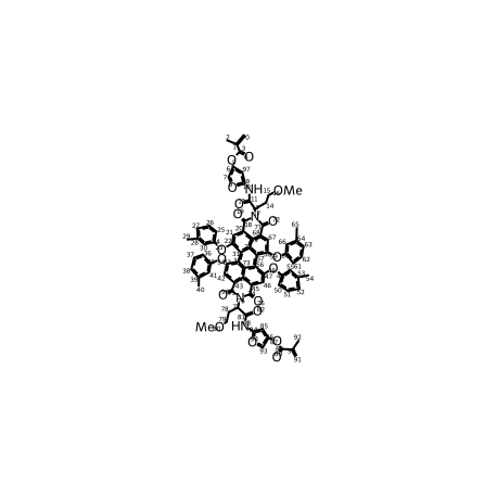 C=C(C)C(=O)Oc1coc(NC(=O)C(CCOC)N2C(=O)c3cc(Oc4cccc(C)c4)c4c5c(Oc6cccc(C)c6)cc6c7c(cc(Oc8cccc(C)c8)c(c8c(Oc9cccc(C)c9)cc(c3c48)C2=O)c75)C(=O)N(C(CCOC)C(=O)Nc2cc(OC(=O)C(=C)C)co2)C6=O)c1